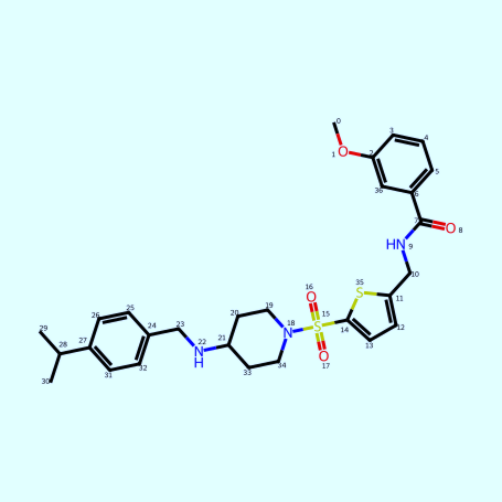 COc1cccc(C(=O)NCc2ccc(S(=O)(=O)N3CCC(NCc4ccc(C(C)C)cc4)CC3)s2)c1